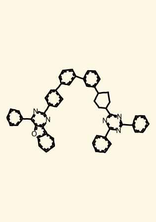 c1ccc(-c2nc(-c3ccccc3)nc(C3CCC(c4cccc(-c5cccc(-c6ccc(-c7nc(-c8ccccc8)c8oc9ccccc9c8n7)cc6)c5)c4)CC3)n2)cc1